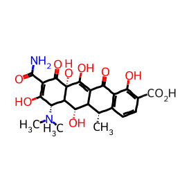 C[C@H]1c2ccc(C(=O)O)c(O)c2C(=O)C2=C(O)[C@]3(O)C(=O)C(C(N)=O)=C(O)[C@@H](N(C)C)C3[C@@H](O)C21